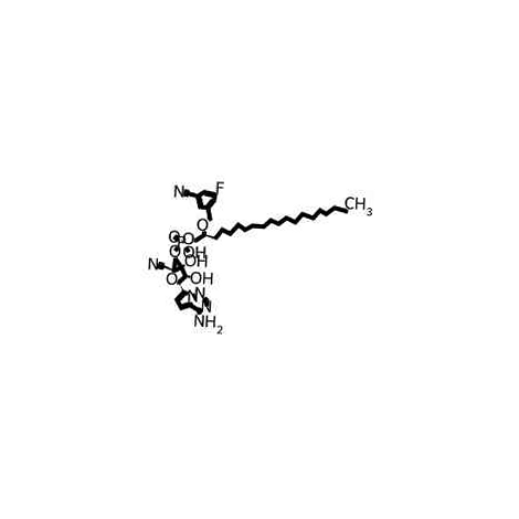 CCCCCCCCCCCCCCCCCC[C@@H](COP(=O)(O)OC1[C@@]2(C#N)O[C@@H](c3ccc4c(N)ncnn34)[C@H](O)[C@@]12O)OCc1cc(F)cc(C#N)c1